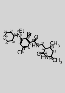 CCN(c1cc(Cl)cc(C(=O)NCC2C(=O)NC(C)CC2C)c1Br)C1CCOCC1